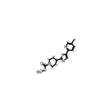 Cc1ccc(-c2cnc(C3CCN(C(=O)OC(C)(C)C)CC3)s2)nc1